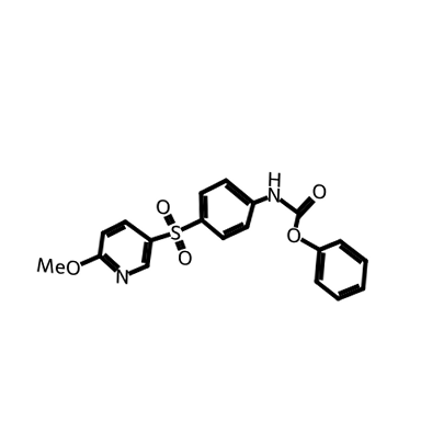 COc1ccc(S(=O)(=O)c2ccc(NC(=O)Oc3ccccc3)cc2)cn1